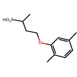 Cc1ccc(C)c(OCCC(C)S(=O)(=O)O)c1